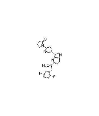 CN(Cc1cc(F)ccc1F)c1ccc2ncc(-c3ccc(N4CCCC4=O)nc3)n2n1